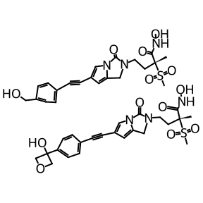 C[C@@](CCN1Cc2cc(C#Cc3ccc(C4(O)COC4)cc3)cn2C1=O)(C(=O)NO)S(C)(=O)=O.C[C@@](CCN1Cc2cc(C#Cc3ccc(CO)cc3)cn2C1=O)(C(=O)NO)S(C)(=O)=O